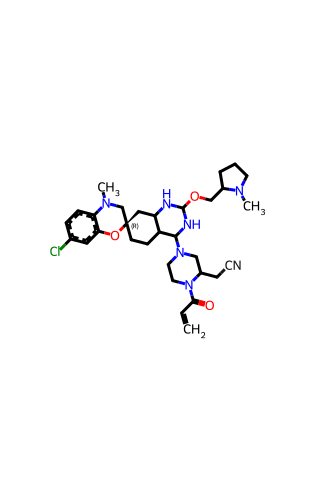 C=CC(=O)N1CCN(C2NC(OCC3CCCN3C)NC3C[C@]4(CCC32)CN(C)c2ccc(Cl)cc2O4)CC1CC#N